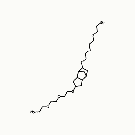 SCCOCCOCCSC1CC2C3CC(SCCOCCOCCS)C(C3)C2C1